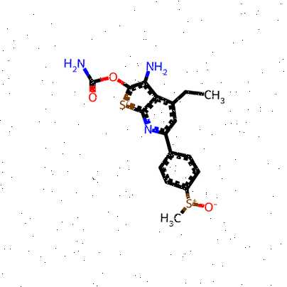 CCc1cc(-c2ccc([S+](C)[O-])cc2)nc2sc(OC(N)=O)c(N)c12